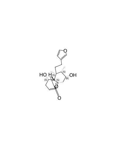 C[C@@H]1[C@H](O)C[C@@]23COC(=O)C2=CC[C@H](O)[C@@H]3[C@@]1(C)CCc1ccoc1